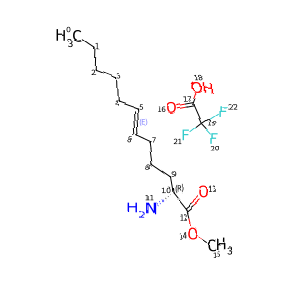 CCCCC/C=C/CCC[C@@H](N)C(=O)OC.O=C(O)C(F)(F)F